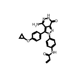 C=CC(=O)Nc1ccc(-n2nc3c(=O)[nH]nc(N)c3c2-c2ccc(OC3CC3)cc2)cc1